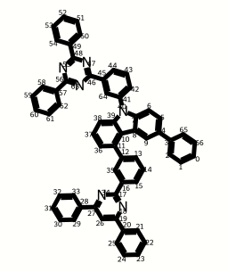 c1ccc(-c2ccc3c(c2)c2c(-c4cccc(-c5nc(-c6ccccc6)cc(-c6ccccc6)n5)c4)cccc2n3-c2cccc(-c3nc(-c4ccccc4)nc(-c4ccccc4)n3)c2)cc1